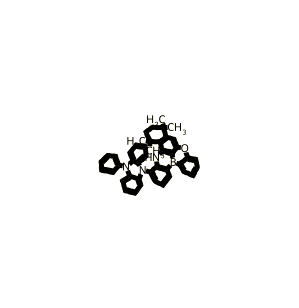 CC1(C)CCC(C)(C)c2c1cc1c3c2Nc2c(cccc2N2c4ccccc4N(c4ccccc4)c4ccccc42)B3c2ccccc2O1